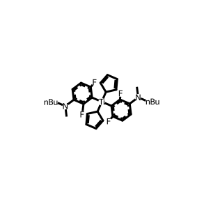 CCCCN(C)c1ccc(F)[c]([Ti]([c]2c(F)ccc(N(C)CCCC)c2F)([CH]2C=CC=C2)[CH]2C=CC=C2)c1F